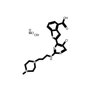 CN1CCN(CCCNc2ncc(Cl)c(-c3cc4c(C(=O)O)cccc4s3)n2)CC1.Cl.Cl.Cl